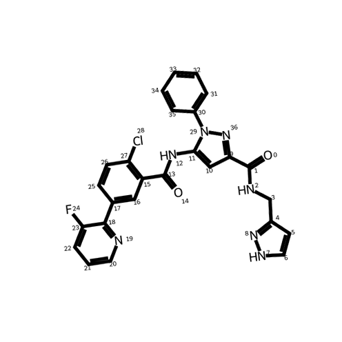 O=C(NCc1cc[nH]n1)c1cc(NC(=O)c2cc(-c3ncccc3F)ccc2Cl)n(-c2ccccc2)n1